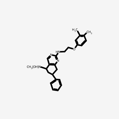 Cc1ccc(OCCNc2ncc3c(n2)CC(c2ccccc2)CC3N(C)O)cc1C